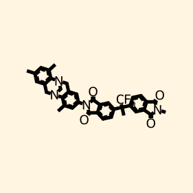 Cc1cc(C)c2c(c1)CN1CN2Cc2cc(N3C(=O)c4ccc(C(C)(c5ccc6c(c5)C(=O)N(C)C6=O)C(F)(F)F)cc4C3=O)cc(C)c21